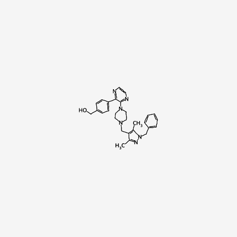 Cc1nn(Cc2ccccc2)c(C)c1CN1CCN(c2nccnc2-c2ccc(CO)cc2)CC1